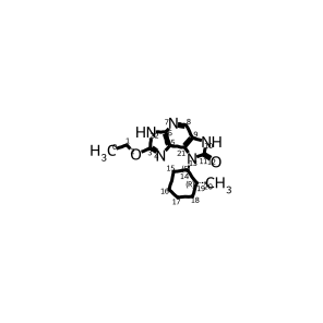 CCOc1nc2c(ncc3[nH]c(=O)n([C@H]4CCCC[C@H]4C)c32)[nH]1